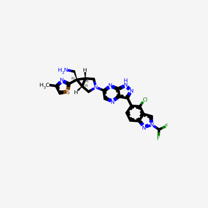 Cc1csc([C@]2(CN)[C@@H]3CN(c4cnc5c(-c6ccc7nn(C(F)F)cc7c6Cl)n[nH]c5n4)C[C@@H]32)n1